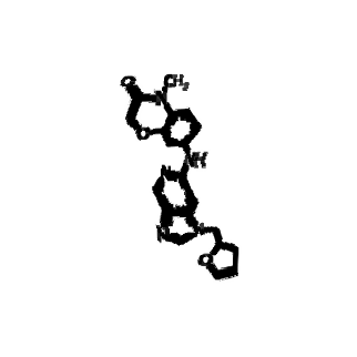 CN1C(=O)COc2cc(Nc3cc4c(cn3)ncn4CC3CCCO3)ccc21